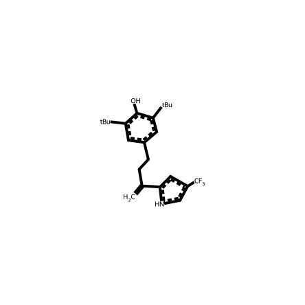 C=C(CCc1cc(C(C)(C)C)c(O)c(C(C)(C)C)c1)c1cc(C(F)(F)F)c[nH]1